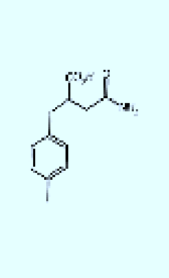 Cc1ccc(CC(CC(N)=O)C(=O)O)cc1